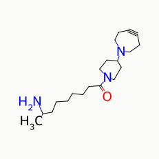 CC(N)CCCCCCC(=O)N1CCC(N2CCC#CCC2)CC1